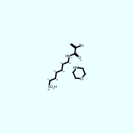 C1COCCN1.C=C(CC)C(=O)NCCCCCCS(=O)(=O)O